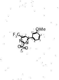 COc1cccc(-c2cc(C(F)(F)F)nc(S(C)(=O)=O)n2)c1